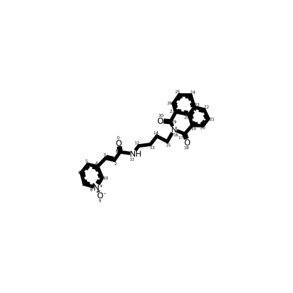 O=C(C=Cc1ccc[n+]([O-])c1)NCCCCN1C(=O)c2cccc3cccc(c23)C1=O